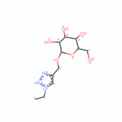 CCn1cc(COC2OC(CO)C(O)C(O)C2O)nn1